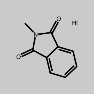 CN1C(=O)c2ccccc2C1=O.I